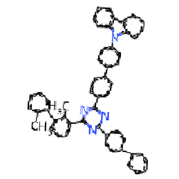 Cc1ccccc1-c1cccc(-c2nc(-c3ccc(-c4ccccc4)cc3)nc(-c3ccc(-c4ccc(-n5c6ccccc6c6ccccc65)cc4)cc3)n2)c1C